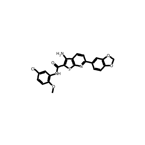 COc1ccc(Cl)cc1NC(=O)c1sc2nc(-c3ccc4c(c3)OCO4)ccc2c1N